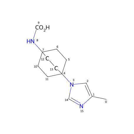 Cc1cn(C23CCC(NC(=O)O)(CC2)CC3)cn1